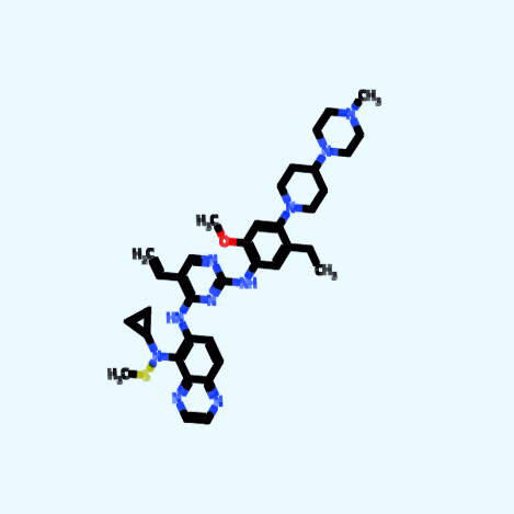 C=Cc1cnc(Nc2cc(CC)c(N3CCC(N4CCN(C)CC4)CC3)cc2OC)nc1Nc1ccc2nccnc2c1N(SC)C1CC1